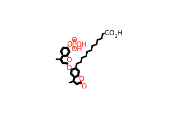 Cc1cc(=O)oc2cc(CCCCCCCCCCCC(=O)O)ccc12.Cc1cc(=O)oc2cc(OP(=O)(O)O)ccc12